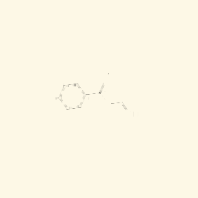 C=COC(=O)c1ccccc1.Cl